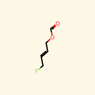 O=COCC=CCF